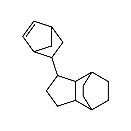 C1=CC2CC1CC2C1CCC2C3CCC(CC3)C21